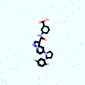 O=C(NC1CCCC(C(=O)O)C1)c1cnn2ccc(N3CCC[C@@H]3c3cc(F)ccc3F)cc12